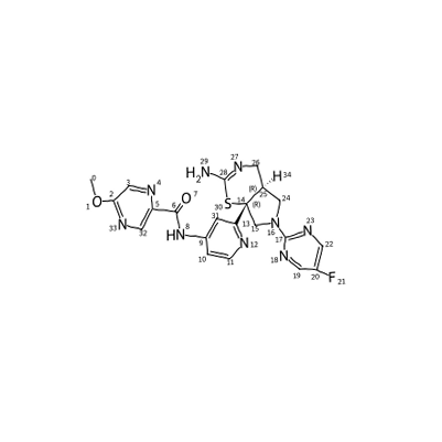 COc1cnc(C(=O)Nc2ccnc([C@]34CN(c5ncc(F)cn5)C[C@@H]3CN=C(N)S4)c2)cn1